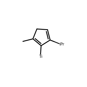 CC1=[C]([Ti])C(C(C)C)=CC1